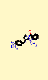 CN(N)c1ccc(/C=C2\CCn3c2[n+](N)c2ccccc2c3=O)cc1